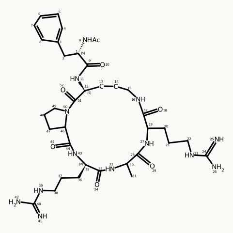 CC(=O)N[C@@H](Cc1ccccc1)C(=O)N[C@H]1CCCNC(=O)C(CCCNC(=N)N)NC(=O)C(C)NC(=O)[C@@H](CCCNC(=N)N)NC(=O)C2CCCN2C1=O